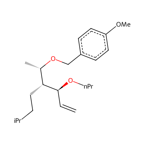 C=C[C@H](OCCC)[C@H](CCC(C)C)[C@H](C)OCc1ccc(OC)cc1